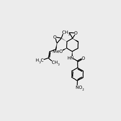 CO[C@H]1[C@H](C2(C)O[C@@H]2CC=C(C)C)[C@]2(CC[C@H]1NC(=O)c1ccc([N+](=O)[O-])cc1)CO2